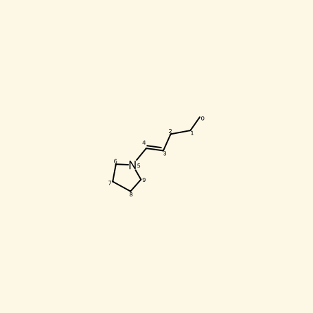 CCCC=CN1CCCC1